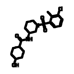 Cc1c(Cl)cccc1S(=O)(=O)N1CCC[C@H](NC(=O)C2CCC(O)CC2)C1